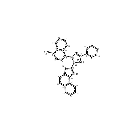 O=[N+]([O-])c1ccc(N2N=C(c3ccccc3)NN2c2nc3c(ccc4ccccc43)s2)c2ccccc12